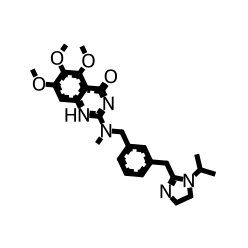 COc1cc2[nH]c(N(C)Cc3cccc(CC4=NCCN4C(C)C)c3)nc(=O)c2c(OC)c1OC